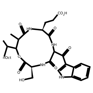 CCCCCCCCC(C)C1OC(=O)[C@H](CO)NC(=O)C(C(=O)c2c[nH]c3ccccc23)NC(=O)[C@H](CCC(=O)O)NC(=O)C1C